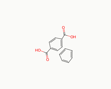 O=C(O)c1ccc(C(=O)O)cc1.c1ccccc1